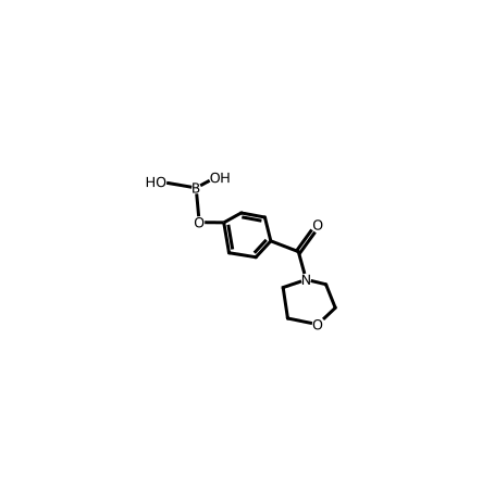 O=C(c1ccc(OB(O)O)cc1)N1CCOCC1